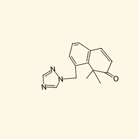 CC1(C)C(=O)C=Cc2cccc(Cn3cncn3)c21